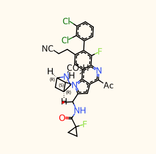 CC(=O)c1nc2c(F)c(-c3cccc(Cl)c3Cl)c(CCC#N)cc2c2c1cc(C(C)NC(=O)C1(F)CC1)n2[C@H]1[C@@H]2C[C@H]1N(C(=O)O)C2